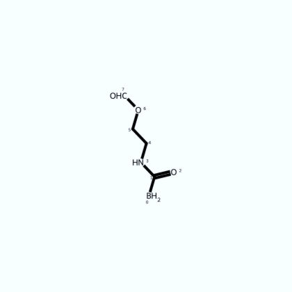 BC(=O)NCCOC=O